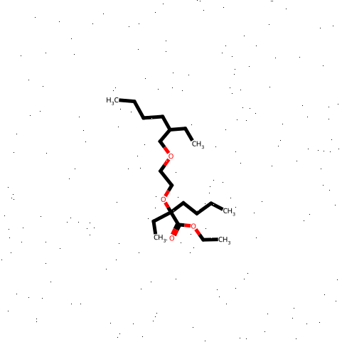 CCCCC(CC)COCCOC(CC)(CCCC)C(=O)OCC